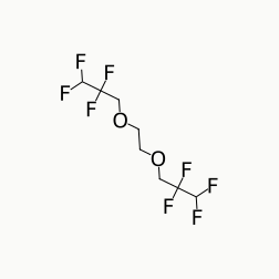 FC(F)C(F)(F)COCCOCC(F)(F)C(F)F